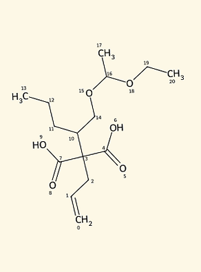 C=CCC(C(=O)O)(C(=O)O)C(CCC)COC(C)OCC